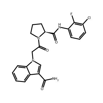 NC(=O)c1cn(CC(=O)N2CCC[C@H]2C(=O)Nc2cccc(Cl)c2F)c2ccccc12